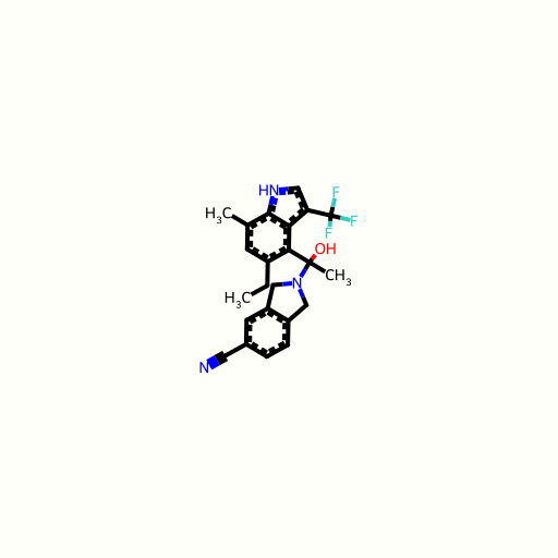 CCc1cc(C)c2[nH]cc(C(F)(F)F)c2c1C(C)(O)N1Cc2ccc(C#N)cc2C1